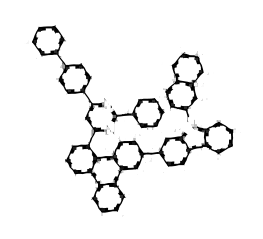 c1ccc(-c2ccc(-c3cc(-c4cccc5c6ccccc6c6cc(-c7ccc8c9ccccc9n(-c9ccc%10ccccc%10c9)c8c7)ccc6c45)nc(-c4ccccc4)n3)cc2)cc1